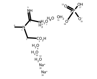 CN(CC(=O)O)C(=N)N.O.O.O.O.O.O.O=P([O-])([O-])O.[Na+].[Na+]